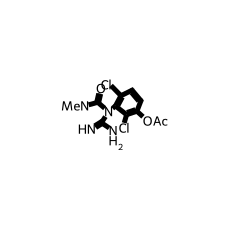 CNC(=O)N(C(=N)N)c1c(Cl)ccc(OC(C)=O)c1Cl